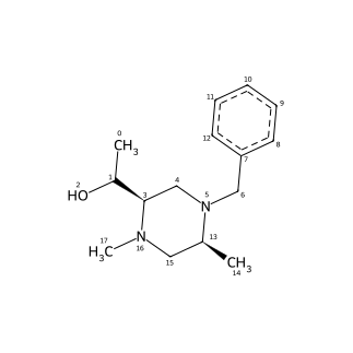 CC(O)[C@H]1CN(Cc2ccccc2)[C@@H](C)CN1C